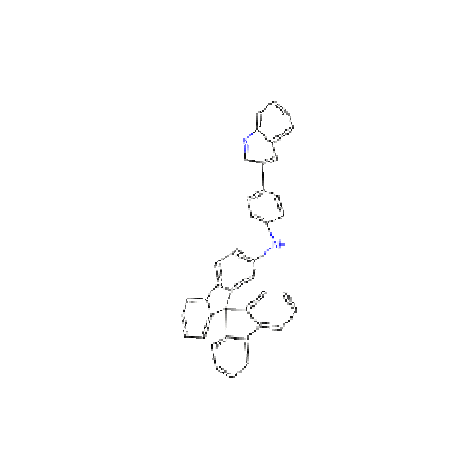 c1ccc2c(c1)-c1ccccc1C21c2ccccc2-c2ccc(Nc3ccc(-c4cnc5ccccc5c4)cc3)cc21